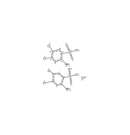 Nc1cc(Cl)c(Cl)cc1S(=O)(=O)[O-].Nc1cc(Cl)c(Cl)cc1S(=O)(=O)[O-].[Ca+2]